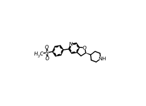 CS(=O)(=O)c1ccc(-c2cc3c(cn2)O[C@@H](C2CCNCC2)C3)cc1